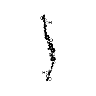 C=CC(=O)OCC(O)COCCCCOc1ccc(C(=O)Oc2ccc3c(c2)C(C)c2cc(OC(=O)c4ccc(OCCCCOCC(O)COC(=O)C=C)cc4)ccc2-3)cc1